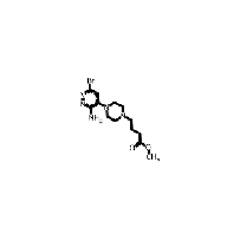 COC(=O)CCCN1CCN(c2cc(Br)nnc2N)CC1